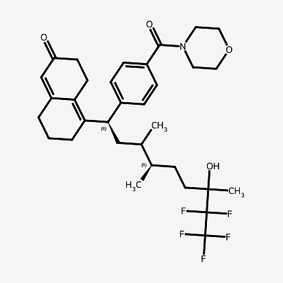 CC(C[C@@H](C1=C2CCC(=O)C=C2CCC1)c1ccc(C(=O)N2CCOCC2)cc1)[C@H](C)CCC(C)(O)C(F)(F)C(F)(F)F